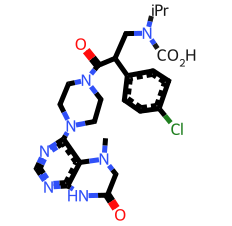 CC(C)N(CC(C(=O)N1CCN(c2ncnc3c2N(C)CC(=O)N3)CC1)c1ccc(Cl)cc1)C(=O)O